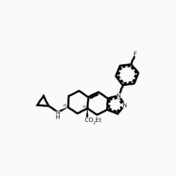 CCOC(=O)[C@]12Cc3cnn(-c4ccc(F)cc4)c3C=C1CC[C@H](NC1CC1)C2